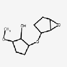 COC1CCC(OC2CCC3OC23)C1O